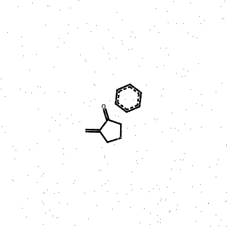 C=C1CCCC1=O.c1ccccc1